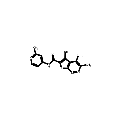 Cc1cc(NC(=O)c2sc3nnc(C)c(C)c3c2N)ccn1